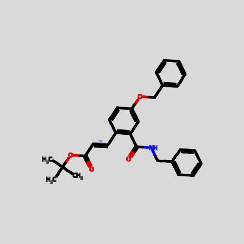 CC(C)(C)OC(=O)/C=C/c1ccc(OCc2ccccc2)cc1C(=O)NCc1ccccc1